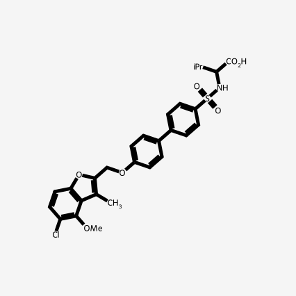 COc1c(Cl)ccc2oc(COc3ccc(-c4ccc(S(=O)(=O)NC(C(=O)O)C(C)C)cc4)cc3)c(C)c12